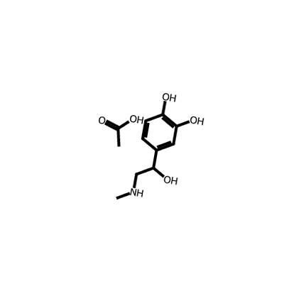 CC(=O)O.CNCC(O)c1ccc(O)c(O)c1